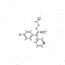 Cl.Fc1ccc(/C(=C\CCCCl)c2cccnc2)cc1